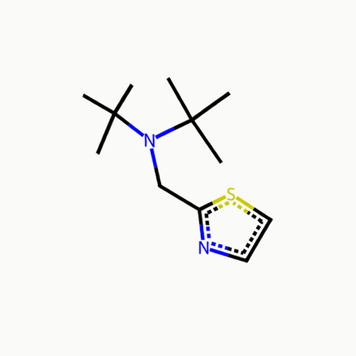 CC(C)(C)N(Cc1nccs1)C(C)(C)C